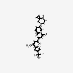 [2H]C([2H])([2H])c1cn2nc(-c3cc(=O)n4cc(N5CCNC6(CC6)C5)ccc4n3)cc(C)c2n1